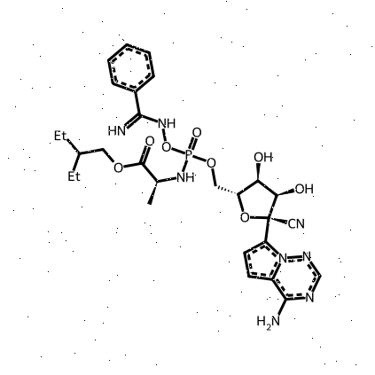 CCC(CC)COC(=O)[C@H](C)NP(=O)(OC[C@H]1O[C@@](C#N)(c2ccc3c(N)ncnn23)[C@H](O)[C@@H]1O)ONC(=N)c1ccccc1